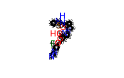 CN1CCN(c2ccc(OCCCc3ccc(N4CCc5cccc(C(=O)Nc6nc7ccccc7s6)c5C4)nc3C(=O)O)c(F)c2)CC1